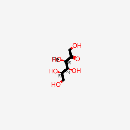 O=C(CO)[C@H](O)[C@@H](O)[C@H](O)CO.[Fe]